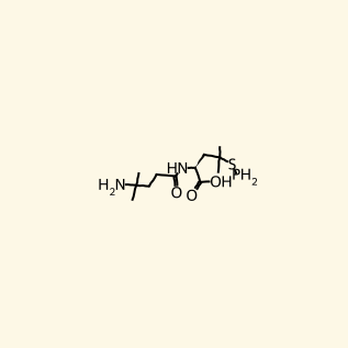 CC(C)(N)CCC(=O)N[C@@H](CC(C)(C)SP)C(=O)O